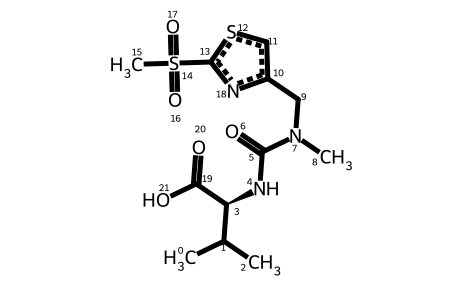 CC(C)[C@H](NC(=O)N(C)Cc1csc(S(C)(=O)=O)n1)C(=O)O